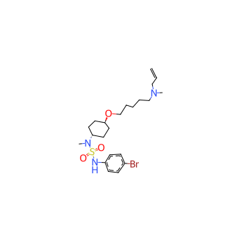 C=CCN(C)CCCCCO[C@H]1CC[C@H](N(C)S(=O)(=O)Nc2ccc(Br)cc2)CC1